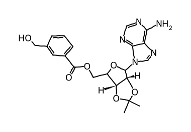 CC1(C)O[C@@H]2C(COC(=O)c3cccc(CO)c3)OC(n3cnc4c(N)ncnc43)[C@@H]2O1